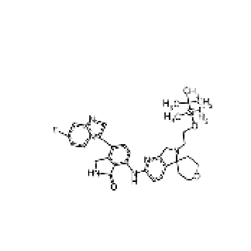 CC(C)(C)[Si](C)(C)OCCN1Cc2nc(Nc3ccc(-c4cnc5cc(F)ccn45)c4c3C(=O)NC4)ccc2C12CCOCC2